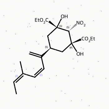 C=C(/C=C\C(C)=C/C)[C@H]1C[C@@](O)(C(=O)OCC)[C@H]([N+](=O)[O-])[C@@](O)(C(=O)OCC)C1